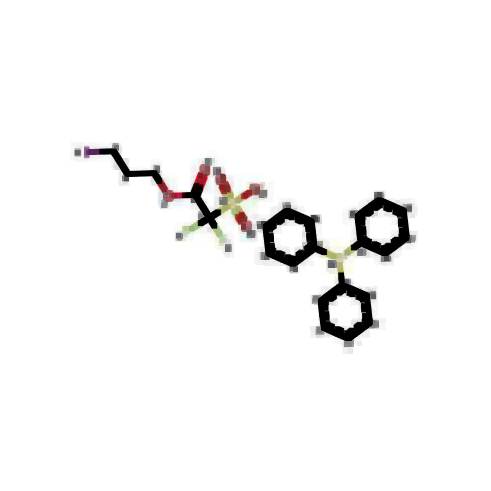 O=C(OCCCI)C(F)(F)S(=O)(=O)[O-].c1ccc([S+](c2ccccc2)c2ccccc2)cc1